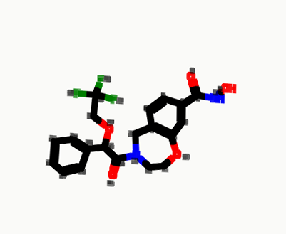 O=C(NO)c1ccc2c(c1)OCCN(C(=O)C(OCC(F)(F)F)c1ccccc1)C2